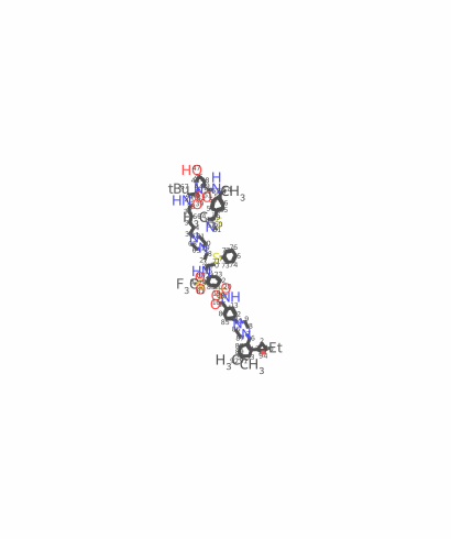 CCC12CC(C3=C(CN4CCN(c5ccc(C(=O)NS(=O)(=O)c6ccc(N[C@H](CCN7CCN(CCCCCC(=O)N[C@H](C(=O)N8C[C@H](O)C[C@H]8C(=O)N[C@@H](C)c8ccc(-c9scnc9C)cc8)C(C)(C)C)CC7)CSc7ccccc7)c(S(=O)(=O)C(F)(F)F)c6)cc5)CC4)CCC(C)(C)C3)(C1)C2